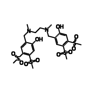 CN(CCN(C)Cc1cc(S(C)(=O)=O)c(S(C)(=O)=O)cc1O)Cc1cc(S(C)(=O)=O)c(S(C)(=O)=O)cc1O